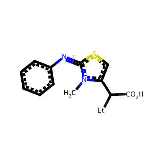 CCC(C(=O)O)c1cs/c(=N/c2ccccc2)n1C